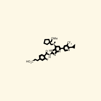 COCC1(CN(C)c2cc(-c3cnc(C4CC4)c(C(F)(F)F)c3)nc3nc(NC(=O)c4ccc(CCC(=O)O)cc4F)[nH]c23)CCCC1